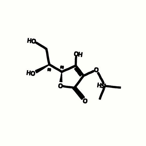 C[SiH](C)OC1=C(O)[C@@H]([C@@H](O)CO)OC1=O